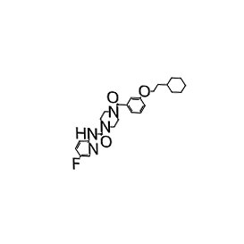 O=C(Nc1ccc(F)cn1)N1CCN(C(=O)c2cccc(OCCC3CCCCC3)c2)CC1